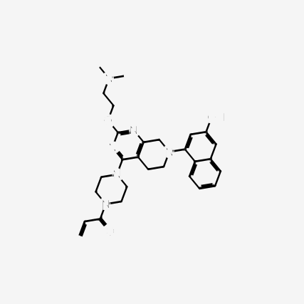 C=CC(=O)N1CCN(c2nc(OCCN(C)C)nc3c2CCN(c2cc(O)cc4ccccc24)C3)CC1